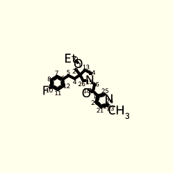 CCOCC1(CCc2ccc(F)cc2)CCN(CC(=O)c2ccc(C)nc2)C1